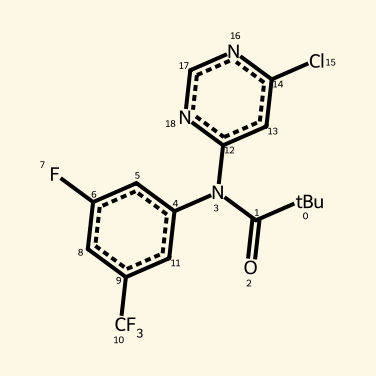 CC(C)(C)C(=O)N(c1cc(F)cc(C(F)(F)F)c1)c1cc(Cl)ncn1